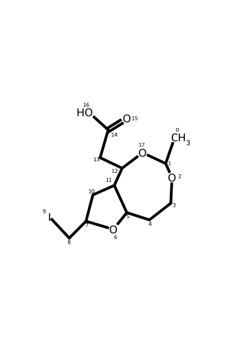 CC1OCCC2OC(CI)CC2C(CC(=O)O)O1